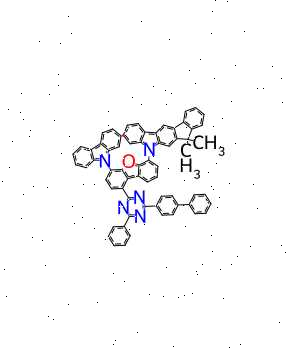 CC1(C)c2ccccc2-c2cc3c4ccccc4n(-c4cccc5c4oc4c(-n6c7ccccc7c7ccccc76)ccc(-c6nc(-c7ccccc7)nc(-c7ccc(-c8ccccc8)cc7)n6)c45)c3cc21